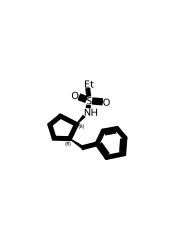 CCS(=O)(=O)N[C@@H]1CCC[C@@H]1Cc1ccccc1